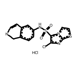 Cl.O=S(=O)(Nc1ccc2c(c1)C=C[N]C2)c1c(Cl)nc2sccn12